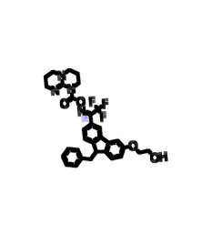 O=C(O/N=C(/c1ccc2c(c1)-c1cc(OCCO)ccc1C2Cc1ccccc1)C(F)(F)F)N1CCCN2CCCN=C21